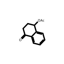 CC(=O)OC1CCC(=O)c2ccccc21